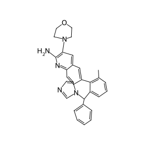 Cc1cccc(C(c2ccccc2)n2ccnc2)c1-c1ccc2nc(N)c(N3CCOCC3)cc2c1